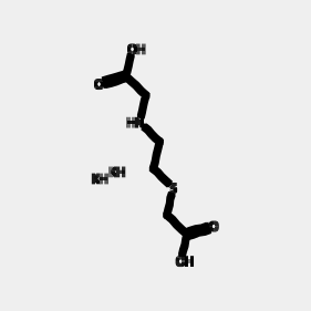 O=C(O)CNCCSCC(=O)O.[KH].[KH]